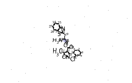 Cc1onc(-c2ccccc2Cl)c1C(=O)O/N=C(\N)Cc1nc2ccccc2s1